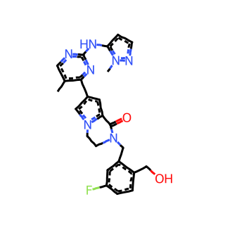 Cc1cnc(Nc2ccnn2C)nc1-c1cc2n(c1)CCN(Cc1cc(F)ccc1CO)C2=O